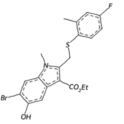 CCOC(=O)c1c(CSc2ccc(F)cc2C)n(C)c2cc(Br)c(O)cc12